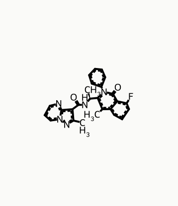 Cc1nn2cccnc2c1C(=O)N[C@@H](C)c1c(C)c2cccc(F)c2c(=O)n1-c1ccccc1